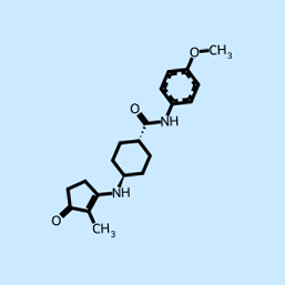 COc1ccc(NC(=O)[C@H]2CC[C@H](NC3=C(C)C(=O)CC3)CC2)cc1